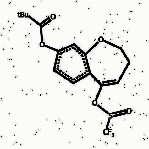 CC(C)(C)C(=O)Oc1ccc2c(c1)OCCC=C2OS(=O)C(F)(F)F